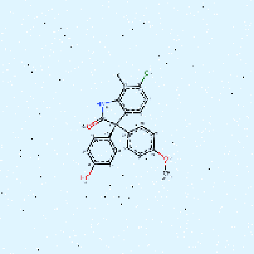 Cc1c(Cl)ccc2c1NC(=O)[C@@]2(c1ccc(O)cc1)c1ccc(OC(F)(F)F)cc1